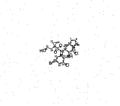 O=S(=O)(Nc1nc2ccnn2c(Cl)c1Nc1ccc(Br)cc1Cl)C1(CCO)CC1